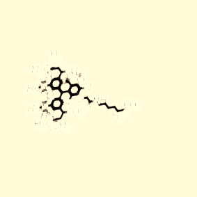 CC(C)CCCCCNC(=O)CSc1c(Cl)c(Cl)c(C(=O)O)c(C2=c3cc4c(c(S(=O)(=O)O)c3Oc3c2cc2c(c3S(=O)(=O)O)NC(C)(C)CC2C)=NC(C)(C)CC4C)c1Cl